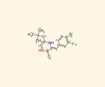 CC(C)(C)OC(=O)NC(=Cc1ccc(Br)c(F)c1)C(=O)O